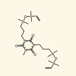 C=C[Si](C)(C)O[Si](C)(C)CCCn1c(=O)n(C)c(=O)n(CCC[Si](C)(C)O[Si](C)(C)C=C)c1=O